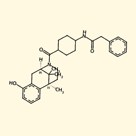 CC1(C)[C@H]2Cc3c(O)cccc3[C@]1(C)CCN2C(=O)C1CCC(NC(=O)Cc2ccccc2)CC1